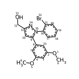 COc1cc(OC)cc(-c2cc(CO)nn2-c2ccccc2Br)c1